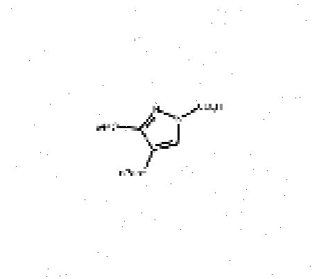 CCCCCc1cn(C(=O)O)nc1OC